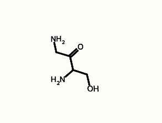 NCC(=O)C(N)CO